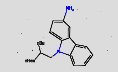 CCCCCCC(CCCC)Cn1c2ccccc2c2cc(N)ccc21